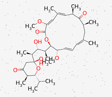 CO/C1=C\C(C)=C\[C@@H](C)C(=O)[C@@H](C)C/C(C)=C/C=C/[C@H](OC)[C@@H]([C@@H](C)[C@@H](O)[C@H](C)[C@@]2(O)CC(=O)[C@H](C)[C@@H](C(C)C)O2)OC1=O